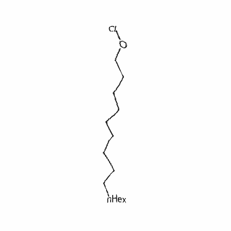 CCCCCCCCCCCCCCCOCl